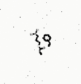 C=CC(=O)OCCCN(CC)CC.C=Cc1ccccc1